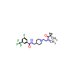 CN(CCN1CCC(CNC(=O)c2cc(F)cc(C(F)(F)F)c2)CC1)C(=O)C1(C)CC1